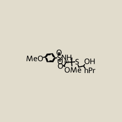 CCCC(O)CSC(C)(C)[C@@H](NS(=O)(=O)c1ccc(OC)cc1)C(=O)OC